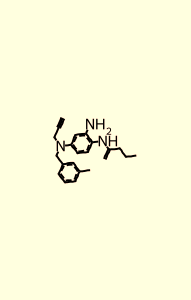 C#CCN(Cc1cccc(C)c1)c1ccc(NC(=C)CCC)c(N)c1